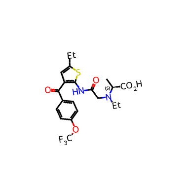 CCc1cc(C(=O)c2ccc(OC(F)(F)F)cc2)c(NC(=O)CN(CC)[C@@H](C)C(=O)O)s1